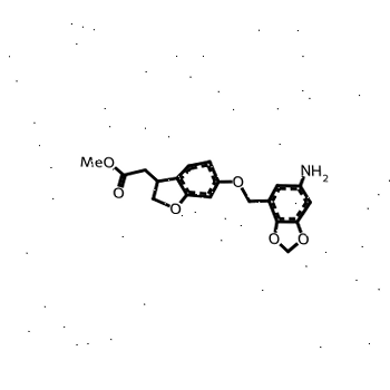 COC(=O)CC1COc2cc(OCc3cc(N)cc4c3OCO4)ccc21